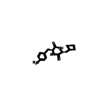 Nc1ccc(C[C@@H]2NC(=O)[C@H](CC3CCC3)NC2=O)cc1